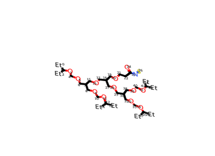 CCC(CC)OCOCC(COCOC(CC)CC)COCC(COCCC(=O)N=S)COCC(COCOC(CC)CC)COCOC(CC)CC